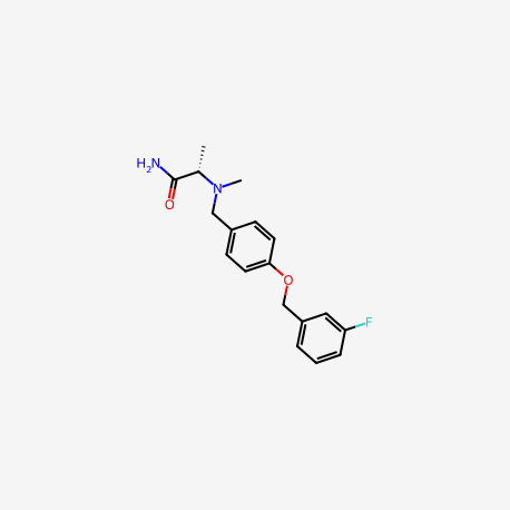 C[C@@H](C(N)=O)N(C)Cc1ccc(OCc2cccc(F)c2)cc1